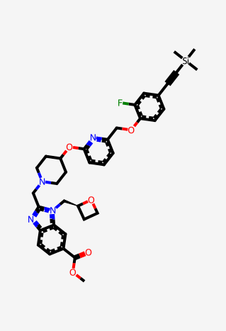 COC(=O)c1ccc2nc(CN3CCC(Oc4cccc(COc5ccc(C#C[Si](C)(C)C)cc5F)n4)CC3)n(C[C@@H]3CCO3)c2c1